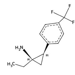 CC[C@@]1(N)C[C@@H]1c1ccc(C(F)(F)F)cc1